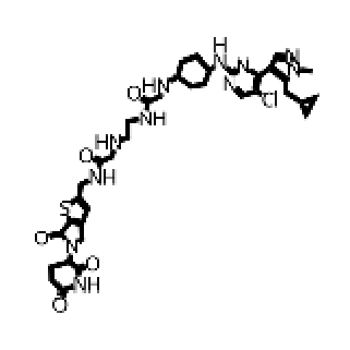 Cn1ncc(-c2nc(NC3CCC(NCC(=O)NCCNCC(=O)NCc4cc5c(s4)C(=O)N(C4CCC(=O)NC4=O)C5)CC3)ncc2Cl)c1CC1CC1